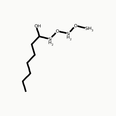 CCCCCCC(O)[SiH2]O[SiH2]O[SiH3]